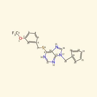 FC(F)(F)Oc1cccc(CSc2ncnc3c2ncn3Cc2ccccc2)c1